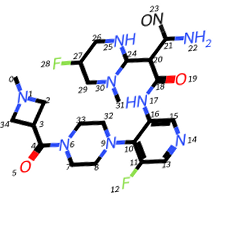 CN1CC(C(=O)N2CCN(c3c(F)cncc3NC(=O)C(C(N)N=O)C3NCC(F)CN3C)CC2)C1